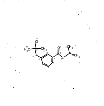 CC(C)OC(=O)c1cccc(OC(C)(C)Cl)c1